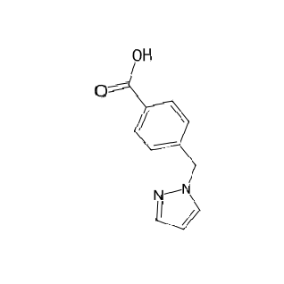 O=C(O)c1ccc(Cn2cccn2)cc1